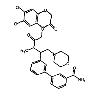 CN(C(=O)CN1C(=O)COc2cc(Cl)c(Cl)cc21)C(CN1CCOCC1)c1cccc(-c2cccc(C(N)=O)c2)c1